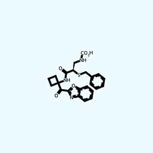 O=C(O)NC[C@@H](SCc1ccccc1)C(=O)NC1(C(=O)c2nc3ccccc3o2)CCC1